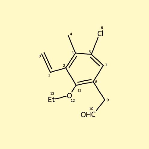 C=Cc1c(C)c(Cl)cc(CC=O)c1OCC